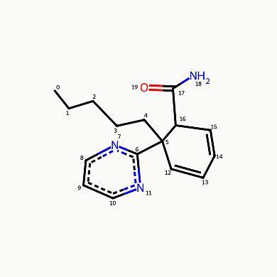 CCCCCC1(c2ncccn2)C=CC=CC1C(N)=O